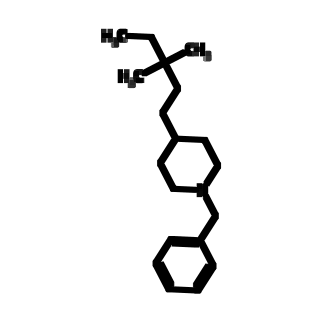 CCC(C)(C)CCC1CCN(Cc2ccccc2)CC1